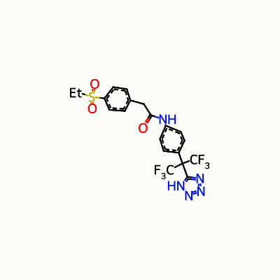 CCS(=O)(=O)c1ccc(CC(=O)Nc2ccc(C(c3nnn[nH]3)(C(F)(F)F)C(F)(F)F)cc2)cc1